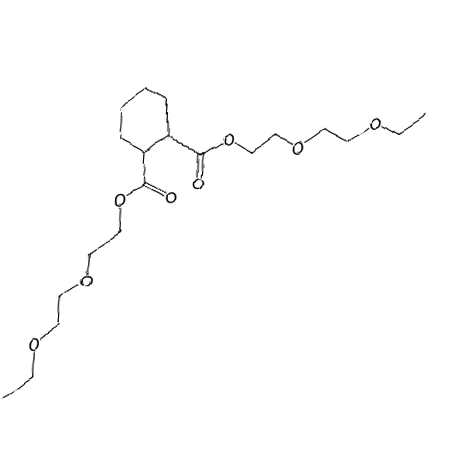 CCOCCOCCOC(=O)C1CCCCC1C(=O)OCCOCCOCC